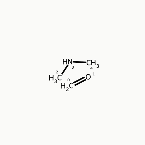 C=O.CNC